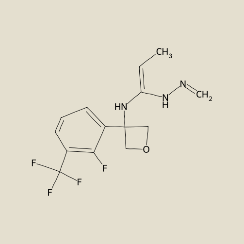 C=NN/C(=C\C)NC1(c2cccc(C(F)(F)F)c2F)COC1